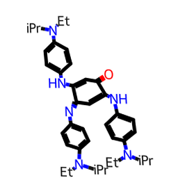 CCN(c1ccc(N=C2C=C(Nc3ccc(N(CC)C(C)C)cc3)C(=O)C=C2Nc2ccc(N(CC)C(C)C)cc2)cc1)C(C)C